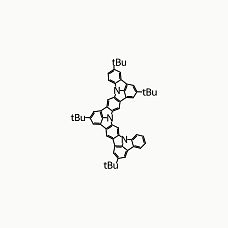 CC(C)(C)c1ccc2c(c1)c1cc(C(C)(C)C)cc3c4cc5c(cc4n2c13)c1cc(C(C)(C)C)cc2c3cc4c6cc(C(C)(C)C)cc7c8ccccc8n(c4cc3n5c12)c76